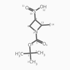 CC(C)(C)OC(=O)N1CC(S(=O)O)C1I